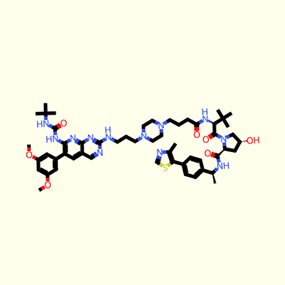 COc1cc(OC)cc(-c2cc3cnc(NCCCN4CCN(CCCC(=O)N[C@H](C(=O)N5C[C@H](O)C[C@H]5C(=O)N[C@@H](C)c5ccc(-c6scnc6C)cc5)C(C)(C)C)CC4)nc3nc2NC(=O)NC(C)(C)C)c1